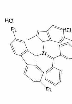 CCc1ccc2c(c1)[CH]([Zr](=[C](c1ccccc1)c1ccccc1)[CH]1C(C)=Cc3ccc(C)cc31)c1cc(CC)ccc1-2.Cl.Cl